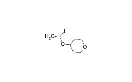 CC(I)OC1CCOCC1